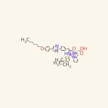 CCCCCCCOc1ccc(-c2cnc(-c3ccc(C[C@H](NC(=O)c4ccc(C(C)(C)C)s4)C(=O)N[C@H](CC(=O)O)Cc4ccccc4)cc3)nc2)cc1